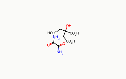 NC(=O)C(N)=O.O=C(O)CC(O)(CC(=O)O)C(=O)O